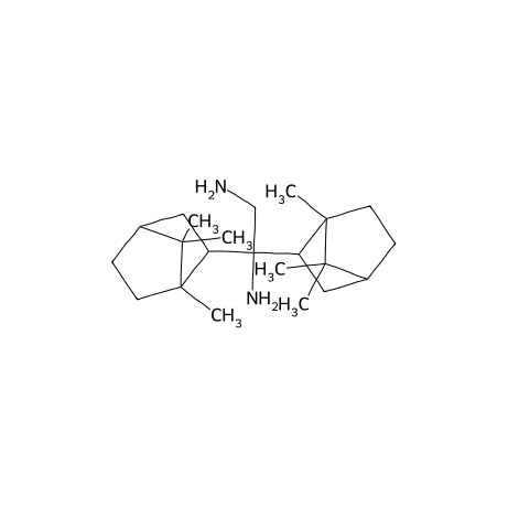 CC1(C)C2CCC1(C)C(C(N)(CN)C1CC3CCC1(C)C3(C)C)C2